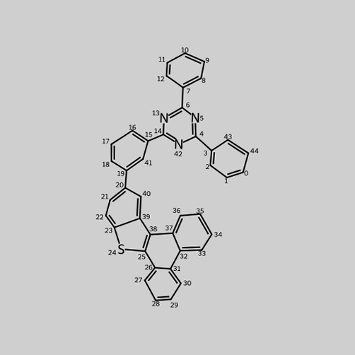 c1ccc(-c2nc(-c3ccccc3)nc(-c3cccc(-c4ccc5sc6c7ccccc7c7ccccc7c6c5c4)c3)n2)cc1